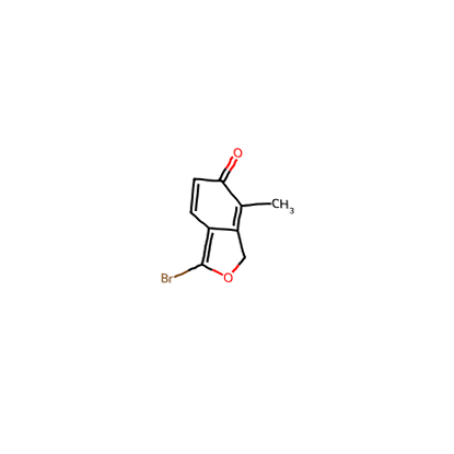 CC1=C2COC(Br)=C2C=CC1=O